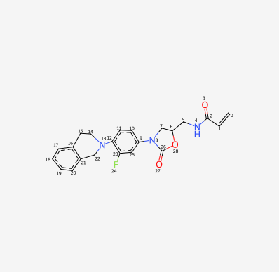 C=CC(=O)NCC1CN(c2ccc(N3CCc4ccccc4C3)c(F)c2)C(=O)O1